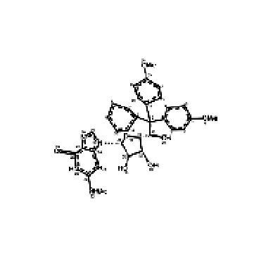 COc1ccc(C(c2ccccc2)(c2ccc(OC)cc2)C(O)[C@H]2O[C@@H](n3cnc4c(=O)[nH]c(NC(C)=O)nc43)[C@H](O)[C@@H]2O)cc1